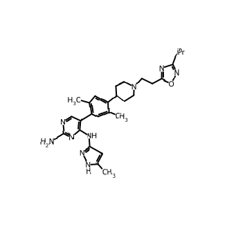 Cc1cc(Nc2nc(N)ncc2-c2cc(C)c(C3CCN(CCc4nc(C(C)C)no4)CC3)cc2C)n[nH]1